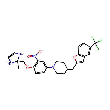 CC1(COc2ccc(N3CCC(Cc4cc5cc(C(F)(F)F)ccc5o4)CC3)cc2[N+](=O)[O-])NC=CN1